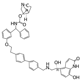 O=C(NC(c1ccccc1)c1cccc(OCCc2ccc(-c3ccc(CNC[C@H](O)c4ccc(O)c5[nH]c(=O)ccc45)cc3)cc2)c1)O[C@H]1CN2CCC1CC2